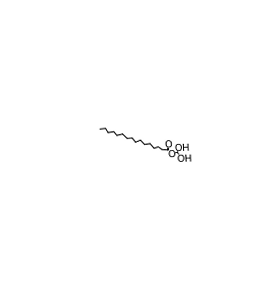 CCCCCCCCCCCCCCCC(=O)OC(O)O